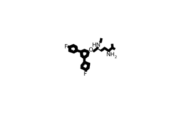 CCN[C@@H](CCC(N)C(C)C)COc1cc(-c2ccc(F)cc2)cc(-c2ccc(F)cc2)c1